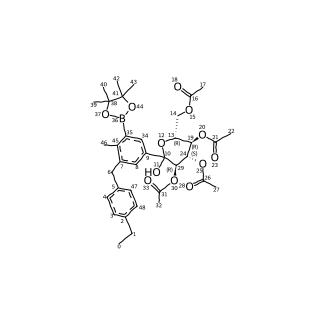 CCc1ccc(Cc2cc(C3(O)O[C@H](COC(C)=O)[C@@H](OC(C)=O)[C@H](OC(C)=O)[C@H]3OC(C)=O)cc(B3OC(C)(C)C(C)(C)O3)c2C)cc1